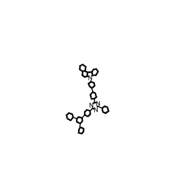 c1ccc(-c2cc(-c3ccccc3)cc(-c3ccc(-c4nc(-c5ccccc5)nc(-c5ccc(-c6ccc(-n7c8ccccc8c8c9ccccc9ccc87)cc6)cc5)n4)cc3)c2)cc1